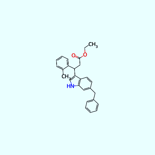 CCOC(=O)CC(c1ccccc1C)c1c[nH]c2cc(Cc3ccccc3)ccc12